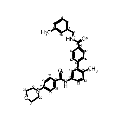 Cc1cccc(CNC(=O)c2ccc(-c3cc(NC(=O)c4ccc(N5CCOCC5)cc4)ccc3C)cc2)c1